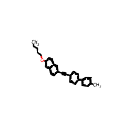 CCCCCOc1ccc2cc(C#Cc3ccc(-c4ccc(C)cc4)cc3)ccc2c1